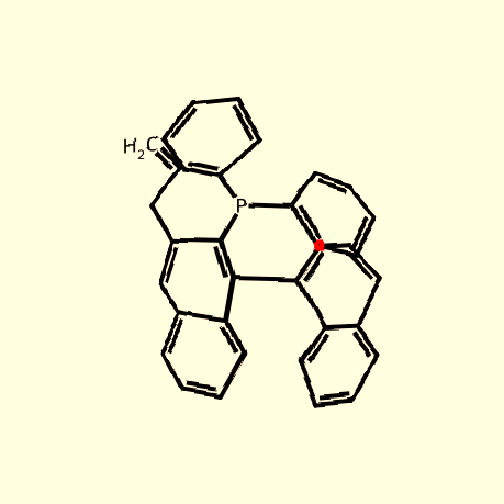 C=CCc1cc2ccccc2c(-c2cccc3ccccc23)c1P(c1ccccc1)c1ccccc1